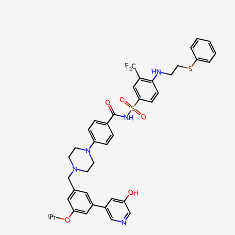 CC(C)Oc1cc(CN2CCN(c3ccc(C(=O)NS(=O)(=O)c4ccc(NCCSc5ccccc5)c(C(F)(F)F)c4)cc3)CC2)cc(-c2cncc(O)c2)c1